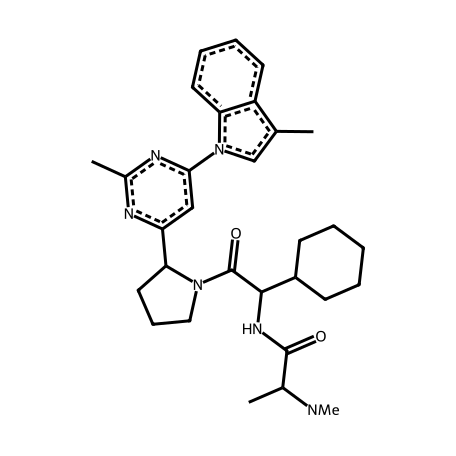 CNC(C)C(=O)NC(C(=O)N1CCCC1c1cc(-n2cc(C)c3ccccc32)nc(C)n1)C1CCCCC1